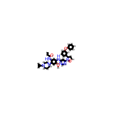 C=CC(=O)Nc1cc(Nc2cc(N3OCCC3c3cccc(Oc4ccccc4)c3)ncn2)c(OC)cc1N1CCCN(C2CC2)CC1